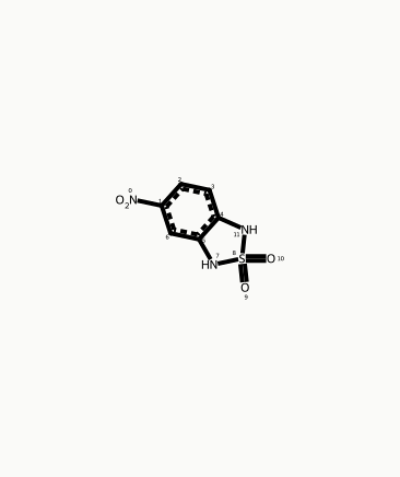 O=[N+]([O-])c1ccc2c(c1)NS(=O)(=O)N2